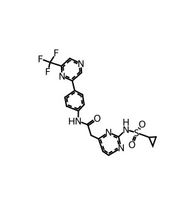 O=C(Cc1ccnc(NS(=O)(=O)C2CC2)n1)Nc1ccc(-c2cncc(C(F)(F)F)n2)cc1